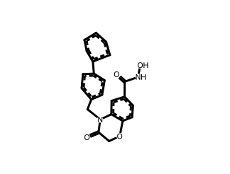 O=C(NO)c1ccc2c(c1)N(Cc1ccc(-c3ccccc3)cc1)C(=O)CO2